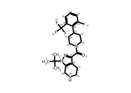 CC(C)(C)n1nc(C(=O)N2CCC(c3c(F)cccc3C(F)(F)F)CC2)c2c1CNCC2